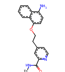 CCNC(=O)c1cc(CCOc2ccc(N)c3ccccc23)ccn1